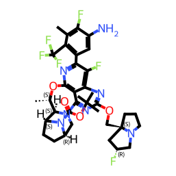 Cc1c(F)c(N)cc(-c2nc3c4c(nc(OC[C@@]56CCCN5C[C@H](F)C6)nc4c2F)N2C[C@H]4CC[C@@H]([C@H]2[C@H](C)O3)N4C(=O)OC(C)(C)C)c1C(F)(F)F